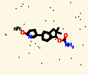 CCCOc1ccc(-c2ccc3c(c2)CC(C)(C)C3OC(N)=O)cn1